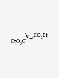 CCOC(=O)C[C@@H](C)C(=O)OCC